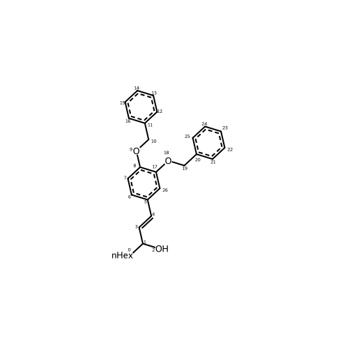 CCCCCCC(O)C=Cc1ccc(OCc2ccccc2)c(OCc2ccccc2)c1